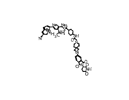 CNc1cc(-c2ccc3cc(C#N)cnn23)ncc1-c1nnc(C2CCC(NC(=O)CN3CCC4(CC3)CN(c3ccc5c(c3)C(=O)N(C3CCC(=O)NC3=O)C5=O)C4)CC2)s1